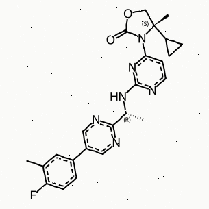 Cc1cc(-c2cnc([C@@H](C)Nc3nccc(N4C(=O)OC[C@]4(C)C4CC4)n3)nc2)ccc1F